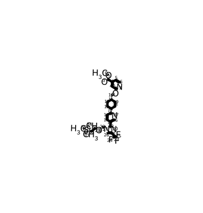 COC(=O)c1ccnc(OC[C@H]2CC[C@H](c3ccc(-c4nc(C(F)(F)F)cn4COCC[Si](C)(C)C)cn3)CC2)c1